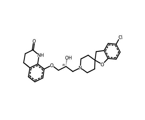 O=C1CCc2cccc(OC[C@H](O)CN3CCC4(CC3)Cc3cc(Cl)ccc3O4)c2N1